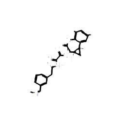 C/N=C\c1cccc(Cc2nnc(C(=O)N[C@@H]3C(=O)Nc4c(F)cc(F)cc4[C@@H]4[C@H](C)[C@@H]43)[nH]2)c1